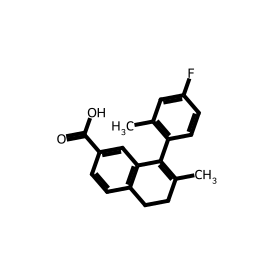 CC1=C(c2ccc(F)cc2C)c2cc(C(=O)O)ccc2CC1